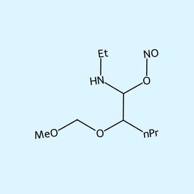 CCCC(OCOC)C(NCC)ON=O